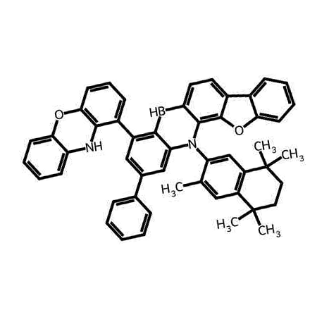 Cc1cc2c(cc1N1c3cc(-c4ccccc4)cc(-c4cccc5c4Nc4ccccc4O5)c3Bc3ccc4c(oc5ccccc54)c31)C(C)(C)CCC2(C)C